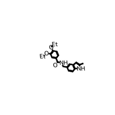 CCOc1ccc(C(=O)NCc2ccc3[nH]c(C)cc3c2)cc1OCC